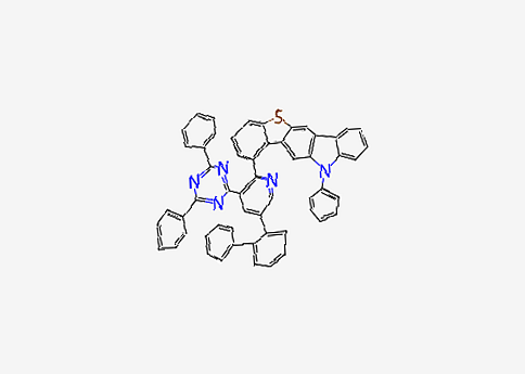 c1ccc(-c2nc(-c3ccccc3)nc(-c3cc(-c4ccccc4-c4ccccc4)cnc3-c3cccc4sc5cc6c7ccccc7n(-c7ccccc7)c6cc5c34)n2)cc1